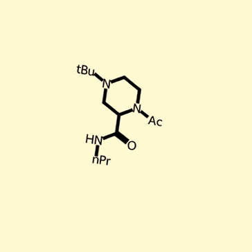 CCCNC(=O)C1CN(C(C)(C)C)CCN1C(C)=O